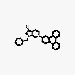 ClC1=C2C=CN(c3ccc4c5ccccc5c5ccccc5c4c3)C=C2S(Cc2ccccc2)=C1